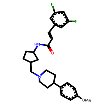 COc1ccc(C2CCN(CC3CCC(NC(=O)/C=C/c4cc(F)cc(F)c4)C3)CC2)cc1